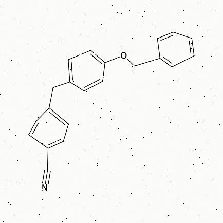 N#Cc1ccc(Cc2ccc(OCc3ccccc3)cc2)cc1